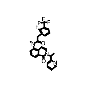 CC(c1ccccn1)n1ccc2c(N(C)C(=O)Cc3cccc(C(F)(F)F)c3F)cccc2c1=O